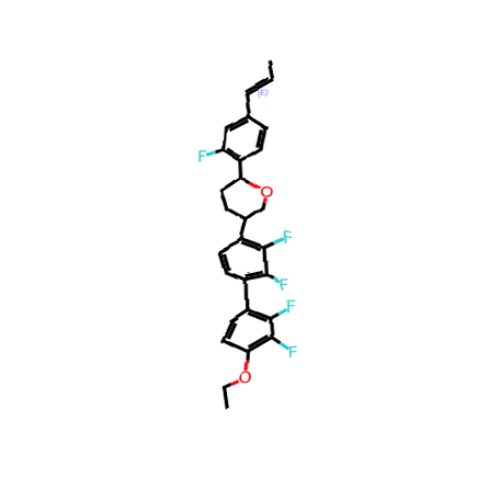 C/C=C/c1ccc(C2CCC(c3ccc(-c4ccc(OCC)c(F)c4F)c(F)c3F)CO2)c(F)c1